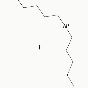 CCCC[CH2][Al+][CH2]CCCC.[I-]